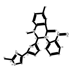 C=C1c2cc(C)ccc2N(C)C(c2ccc(-c3csc(C)n3)s2)N1c1ccccc1N=O